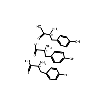 N[C@@H](Cc1ccc(O)cc1)C(=O)O.N[C@@H](Cc1ccc(O)cc1)C(=O)O.N[C@@H](Cc1ccc(O)cc1)C(=O)O